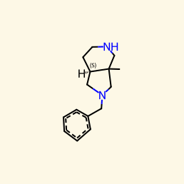 CC12CNCC[C@@H]1CN(Cc1ccccc1)C2